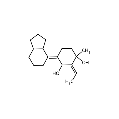 CC=C1C(O)C(=C2CCCC3CCCC23)CCC1(C)O